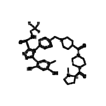 Cc1cc(-c2nnc(C(=O)NCC(F)(F)F)n2-c2ccc(CN3CCC(C(=O)N4CCN(C(=O)[C@H]5CCCN5C)CC4)CC3)cc2)c(O)cc1O